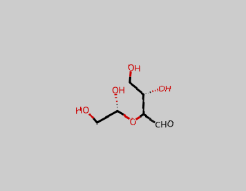 O=CC(O[C@@H](O)CO)[C@@H](O)CO